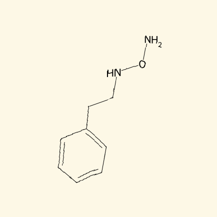 NONCCc1ccccc1